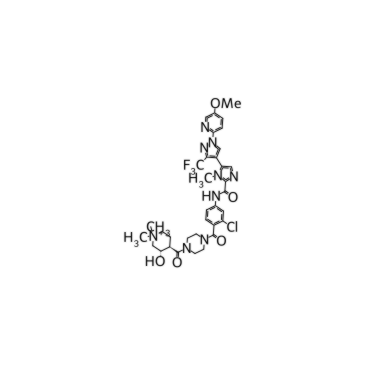 COc1ccc(-n2cc(-c3cnc(C(=O)Nc4ccc(C(=O)N5CCN(C(=O)[C@@H]6CC[N+](C)(C)C[C@H]6O)CC5)c(Cl)c4)n3C)c(C(F)(F)F)n2)nc1